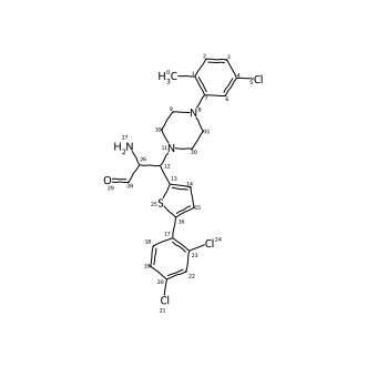 Cc1ccc(Cl)cc1N1CCN(C(c2ccc(-c3ccc(Cl)cc3Cl)s2)C(N)C=O)CC1